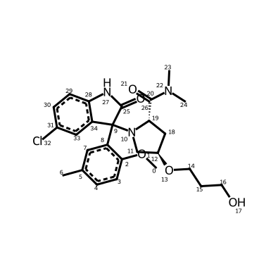 COc1ccc(C)cc1C1(N2C[C@H](OCCCO)C[C@H]2C(=O)N(C)C)C(=O)Nc2ccc(Cl)cc21